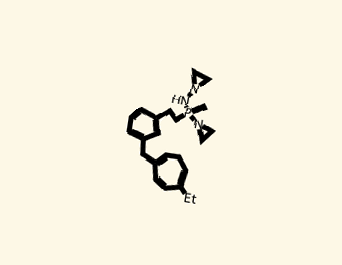 C=P(CCc1cccc(CC2=CCC=C(CC)C=C2)c1)(NN1CC1)N1CC1